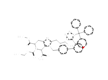 CCCCc1nc2c(n1Cc1ccc(-c3ccccc3-c3nnnn3C(c3ccccc3)(c3ccccc3)c3ccccc3)cc1)C(C(C)=O)N(C(=O)OCC)C(C(=O)OC)C2